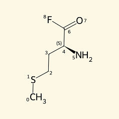 CSCC[C@H](N)C(=O)F